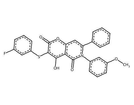 COc1cccc(-n2c(-c3ccccc3)cc3oc(=O)c(Sc4cccc(F)c4)c(O)c3c2=O)c1